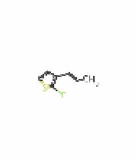 C/C=C/c1ccsc1F